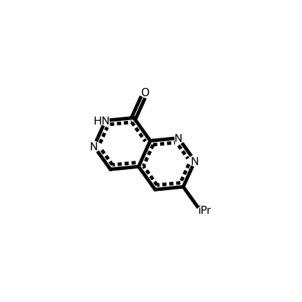 CC(C)c1cc2cn[nH]c(=O)c2nn1